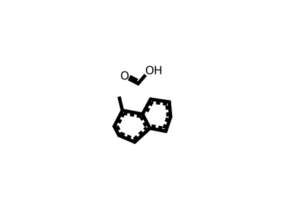 Cc1cccc2ccccc12.O=CO